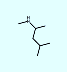 [CH2]NC(C)CC(C)C